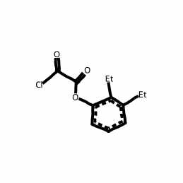 CCc1cccc(OC(=O)C(=O)Cl)c1CC